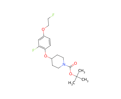 CC(C)(C)OC(=O)N1CCC(Oc2ccc(OCCF)cc2F)CC1